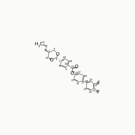 C=CC[C@H]1CO[C@H](c2ccc(C(=O)Oc3ccc(-c4ccc(F)c(F)c4)cc3)cc2)OC1